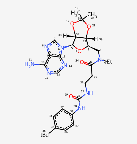 CCN(C[C@H]1O[C@@H](n2cnc3c(N)ncnc32)[C@@H]2OC(C)(C)O[C@@H]21)C(=O)CCNC(=O)Nc1ccc(C(C)(C)C)cc1